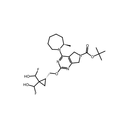 C[C@@H]1CCCCCN1c1nc(OC[C@@H]2CC2(C(O)F)C(O)F)nc2c1CN(C(=O)OC(C)(C)C)C2